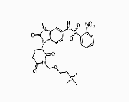 Cn1c(=O)n(C2CCC(=O)N(COCC[Si](C)(C)C)C2=O)c2ccc(NS(=O)(=O)c3ccccc3[N+](=O)[O-])cc21